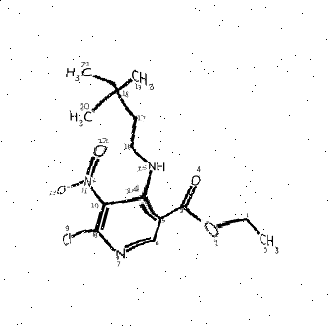 CCOC(=O)c1cnc(Cl)c([N+](=O)[O-])c1NCCC(C)(C)C